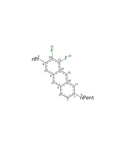 CCCCCc1ccc2cc3cc(CCC)c(F)c(F)c3cc2c1